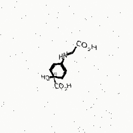 O=C(O)CNC1=CC[C@@](O)(C(=O)O)C=C1